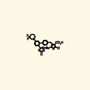 CCCCc1nc(Cl)c(C(=O)O)n1Cc1ccc(-c2cc(N3CCCC(F)(F)C3)ccc2-c2nn[nH]n2)cc1